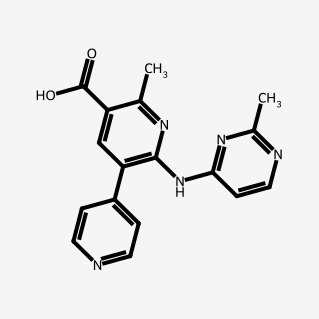 Cc1nccc(Nc2nc(C)c(C(=O)O)cc2-c2ccncc2)n1